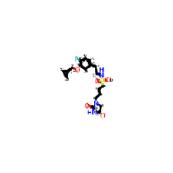 O=C1CN(CCCCS(=O)(=O)NCCc2ccc(F)c(OCC3CC3)c2)C(=O)N1